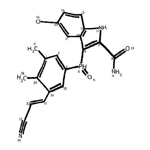 Cc1cc([PH](=O)c2c(C(N)=O)[nH]c3ccc(Cl)cc23)cc(C=CC#N)c1C